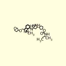 CCC(C)NC(=O)O[C@@H]1CC[C@H](C2CC(Nc3cccc4c(COC5CCOC5)nn(C)c34)=NN2)C1